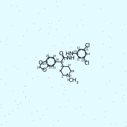 CN1CCC(C(C(=O)NNc2cc(Cl)cc(Cl)c2)c2ccc3c(c2)OCO3)CC1